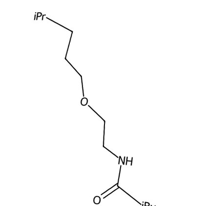 CCC(C)C(=O)NCCOCCCC(C)C